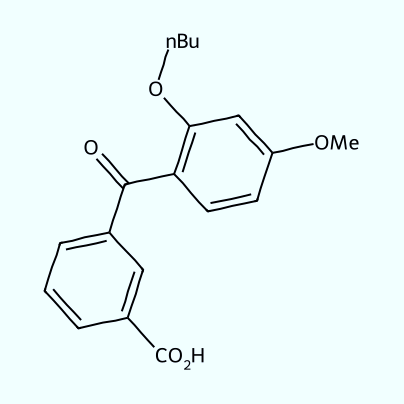 CCCCOc1cc(OC)ccc1C(=O)c1cccc(C(=O)O)c1